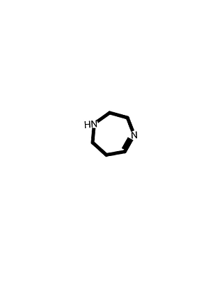 C1=NCCNCC1